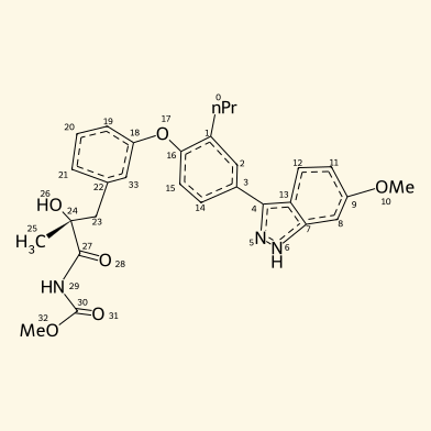 CCCc1cc(-c2n[nH]c3cc(OC)ccc23)ccc1Oc1cccc(C[C@@](C)(O)C(=O)NC(=O)OC)c1